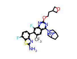 Nc1nc2c(-c3c(C(F)(F)F)cc4c(N5CC6CCC(C5)N6)nc(OCCC5COC5)nc4c3F)ccc(F)c2s1